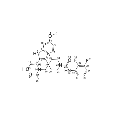 COc1ccc2c3c([nH]c2c1)[C@H](CO)N(C(C)=O)CC31CCN(C(=O)Nc2cccc(F)c2F)CC1